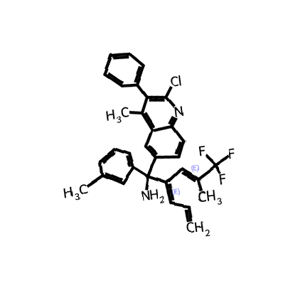 C=C/C=C(\C=C(/C)C(F)(F)F)C(N)(c1cccc(C)c1)c1ccc2nc(Cl)c(-c3ccccc3)c(C)c2c1